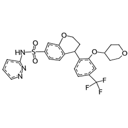 O=S(=O)(Nc1cccnn1)c1ccc2c(c1)OCCC2c1ccc(C(F)(F)F)cc1OC1CCOCC1